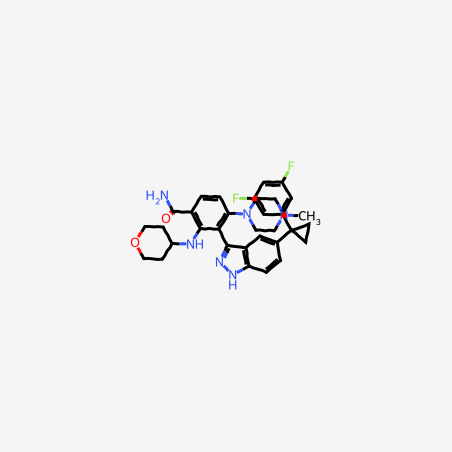 CN1CCN(c2ccc(C(N)=O)c(NC3CCOCC3)c2-c2n[nH]c3ccc(C4(c5cc(F)cc(F)c5)CC4)cc23)CC1